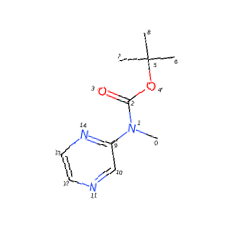 CN(C(=O)OC(C)(C)C)c1cnccn1